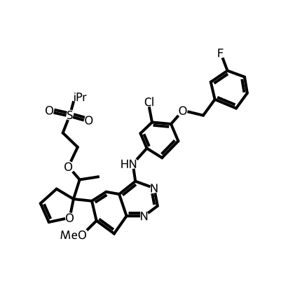 COc1cc2ncnc(Nc3ccc(OCc4cccc(F)c4)c(Cl)c3)c2cc1C1(C(C)OCCS(=O)(=O)C(C)C)CC=CO1